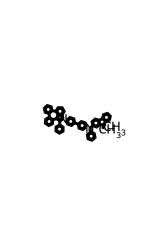 CC1(C)c2ccccc2-c2ccc(N(c3ccccc3)c3ccc(-c4ccc(-n5c(-c6ccccc6)c6c7c(cccc75)-c5ccccc5-c5ccccc5-6)cc4)cc3)cc21